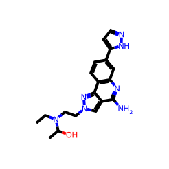 CCN(CCn1cc2c(N)nc3cc(-c4ccn[nH]4)ccc3c2n1)C(C)O